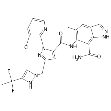 Cc1cc2cn[nH]c2c(C(N)=O)c1NC(=O)c1cc(Cn2cc(C(C)(F)F)[nH]2)nn1-c1ncccc1Cl